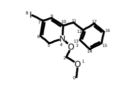 COCON1CC=C(I)C=C1Cc1ccccc1